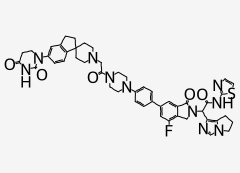 O=C1CCN(c2ccc3c(c2)CCC32CCN(CC(=O)N3CCN(c4ccc(-c5cc(F)c6c(c5)C(=O)N(C(C(=O)Nc5nccs5)c5ncn7c5CCC7)C6)cc4)CC3)CC2)C(=O)N1